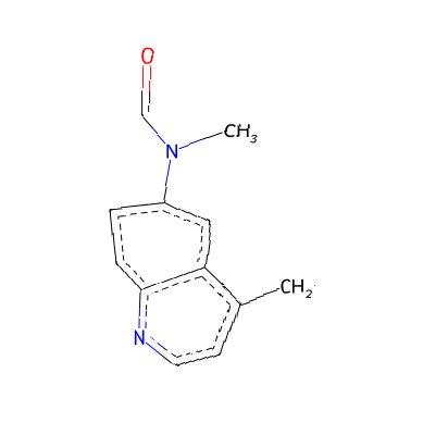 [CH2]c1ccnc2ccc(N(C)C=O)cc12